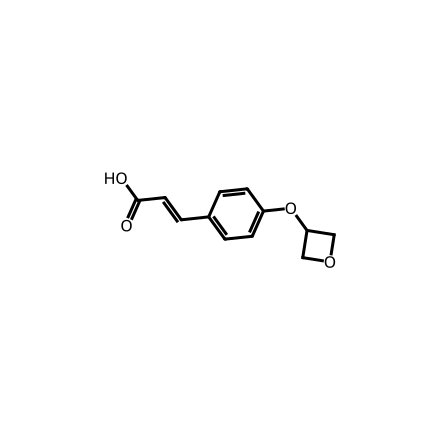 O=C(O)/C=C/c1ccc(OC2COC2)cc1